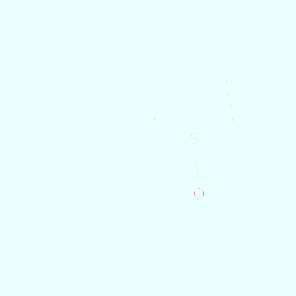 Cc1ccc([S+]([O-])C(C)C)c(C)c1